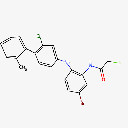 Cc1ccccc1-c1ccc(Nc2ccc(Br)cc2NC(=O)CF)cc1Cl